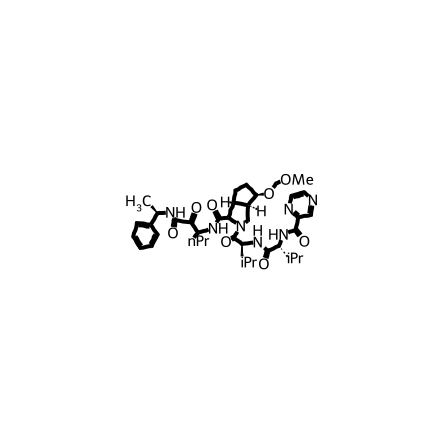 CCCC(NC(=O)C1[C@H]2CC[C@@H](OCOC)[C@H]2CN1C(=O)[C@@H](NC(=O)[C@H](NC(=O)c1cnccn1)C(C)C)C(C)C)C(=O)C(=O)N[C@H](C)c1ccccc1